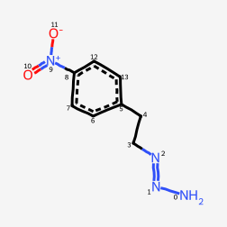 NN=NCCc1ccc([N+](=O)[O-])cc1